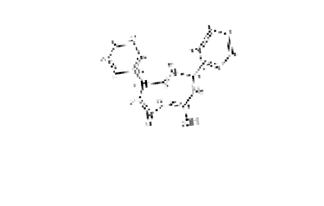 Oc1nc(-c2ccccn2)nc2c1ncn2-c1ccccc1